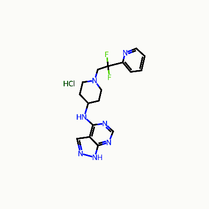 Cl.FC(F)(CN1CCC(Nc2ncnc3[nH]ncc23)CC1)c1ccccn1